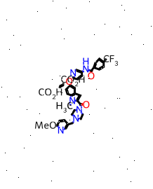 COc1ccc(CN2CCN(C(=O)c3cc4cc(Oc5ccc(NC(=O)c6ccc(C(F)(F)F)cc6)cn5)ccc4n3C)CC2)cn1.O=C(O)C=CC(=O)O